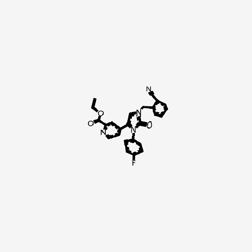 CCOC(=O)c1cc(-c2cn(Cc3ccccc3C#N)c(=O)n2-c2ccc(F)cc2)ccn1